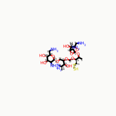 CC(O[C@]12OC(CN)[C@@H](O)C(O1)C2N)[C@@H](CSS)OCOC(CO[C@H]1OC(CN)[C@@H](O)C(O)C1N)C(O)[C@@H](C)N